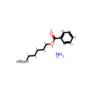 CCCCCCCCCCCCCCOC(=O)c1ccccc1.N